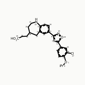 CC(C)Oc1ccc(-c2nc(-c3ccc4c(c3)CC(CCC(=O)O)CCN4)no2)cc1Cl